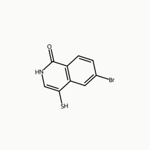 O=c1[nH]cc(S)c2cc(Br)ccc12